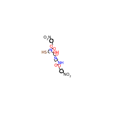 O=C(N[C@H]1CCN(C(=O)C[C@H](O)[C@@H]2C[C@H](S)CN2C(=O)OCc2ccc([N+](=O)[O-])cc2)C1)OCc1ccc([N+](=O)[O-])cc1